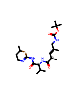 C/C(=C\[C@@H](C)C(=O)N[C@H](C(=O)NC1=NCCC(C)S1)C(C)C)CNC(=O)OC(C)(C)C